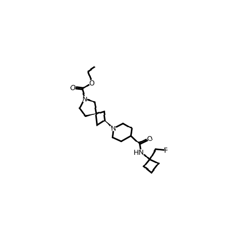 CCOC(=O)N1CC[C@]2(C1)C[C@H](N1CCC(C(=O)NC3(CF)CCC3)CC1)C2